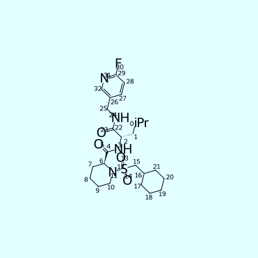 CC(C)C[C@H](NC(=O)[C@@H]1CCCCN1S(=O)(=O)CC1CCCCC1)C(=O)NCc1ccc(F)nc1